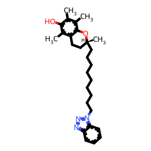 Cc1c(C)c2c(c(C)c1O)CC[C@@](C)(CCCCCCCCCn1nnc3ccccc31)O2